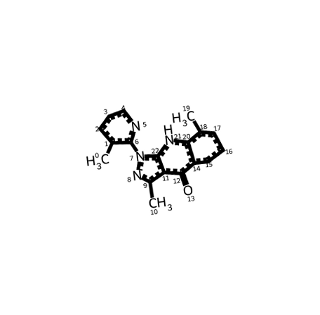 Cc1cccnc1-n1nc(C)c2c(=O)c3cccc(C)c3[nH]c21